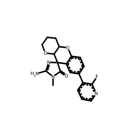 CN1C(=O)C2(N=C1N)c1cc(-c3cccnc3F)ccc1OC1CCCOC12